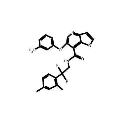 Cc1ccc(C(F)(F)CNC(=O)c2c(Oc3cccc(C(F)(F)F)c3)cnc3ccoc23)c(C)c1